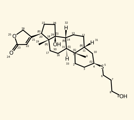 C[C@]12CC[C@H](SCCCO)C[C@H]1CC[C@@H]1[C@@H]2CC[C@]2(C)[C@@H](C3=CC(=O)OC3)CC[C@]12O